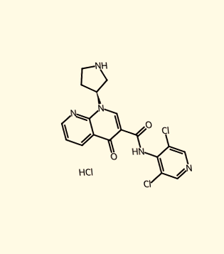 Cl.O=C(Nc1c(Cl)cncc1Cl)c1cn([C@H]2CCNC2)c2ncccc2c1=O